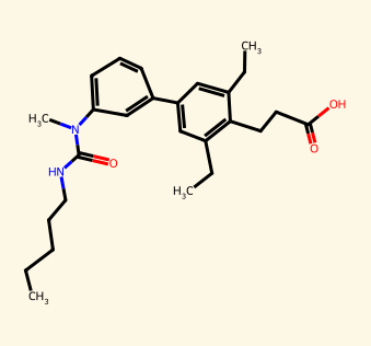 CCCCCNC(=O)N(C)c1cccc(-c2cc(CC)c(CCC(=O)O)c(CC)c2)c1